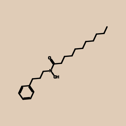 CCCCCCCCCCC(=O)N(O)CCCc1ccccc1